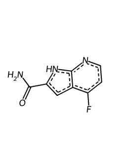 NC(=O)c1cc2c(F)ccnc2[nH]1